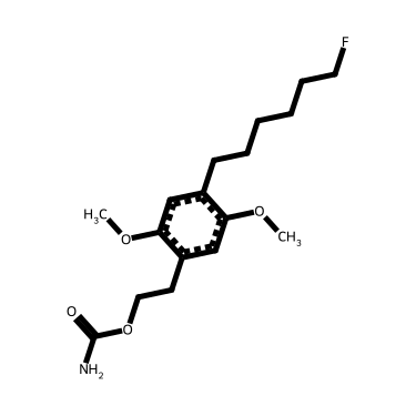 COc1cc(CCOC(N)=O)c(OC)cc1CCCCCCF